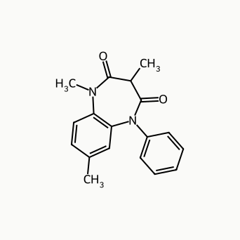 Cc1ccc2c(c1)N(c1ccccc1)C(=O)C(C)C(=O)N2C